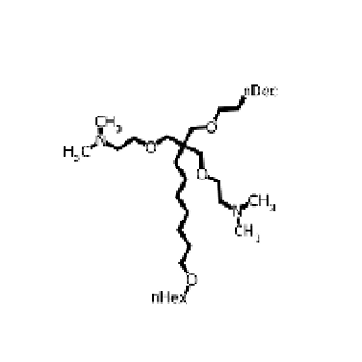 CCCCCCCCCCCCOCC(CCCCCCCOCCCCCC)(COCCN(C)C)COCCN(C)C